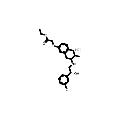 CCOC(=O)COc1ccc2c(c1)CC(NC[C@H](O)c1cccc(Cl)c1)C(C)C2.Cl